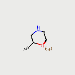 Br.CCCC1CNCCO1